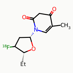 CC[C@H]1O[C@@H](N2C=C(C)C(=O)CC2=O)CC1[18F]